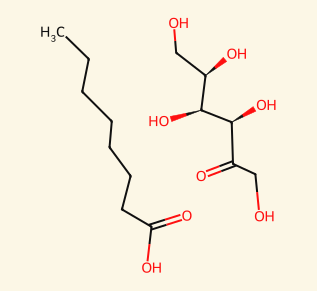 CCCCCCCC(=O)O.O=C(CO)[C@H](O)[C@@H](O)[C@H](O)CO